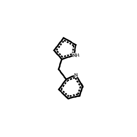 c1ccc(Cc2ccc[nH]2)nc1